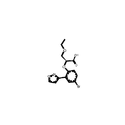 CCOC[C@H](Oc1ccc(Br)cc1-c1ccon1)C(=O)O